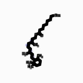 CCCCCCCCCCCCCCCCCC(=O)OC/C=C(C)/C=C\C=C(C)\C=C\C1=C(C)CCCC1(C)C